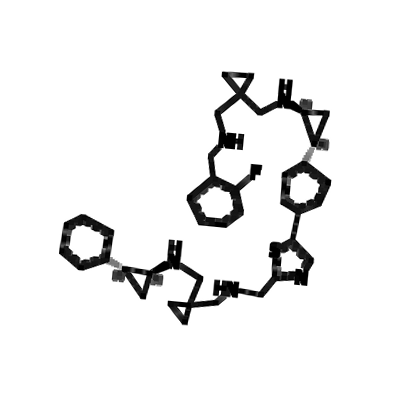 Fc1ccccc1CNCC1(CN[C@H]2C[C@@H]2c2ccc(-c3cnc(CNCC4(CN[C@H]5C[C@@H]5c5ccccc5)CC4)s3)cc2)CC1